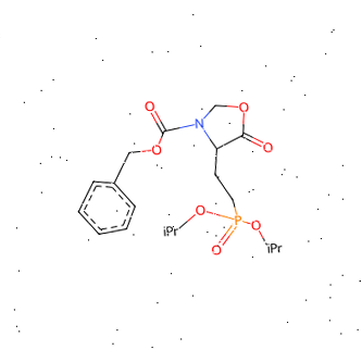 CC(C)OP(=O)(CCC1C(=O)OCN1C(=O)OCc1ccccc1)OC(C)C